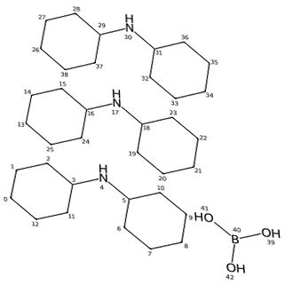 C1CCC(NC2CCCCC2)CC1.C1CCC(NC2CCCCC2)CC1.C1CCC(NC2CCCCC2)CC1.OB(O)O